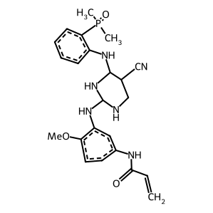 C=CC(=O)Nc1ccc(OC)c(NC2NCC(C#N)C(Nc3ccccc3P(C)(C)=O)N2)c1